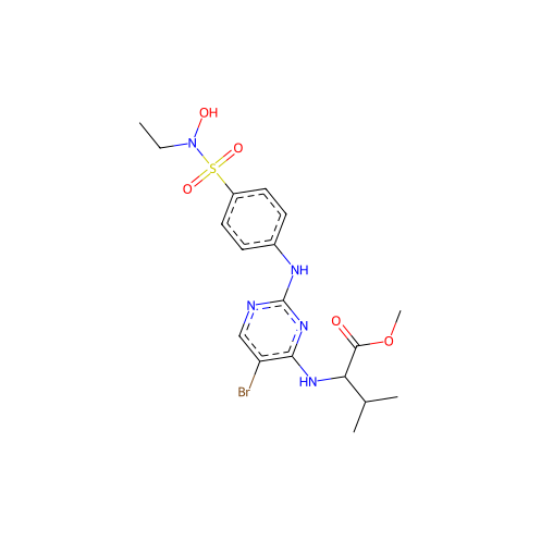 CCN(O)S(=O)(=O)c1ccc(Nc2ncc(Br)c(NC(C(=O)OC)C(C)C)n2)cc1